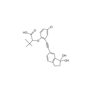 CC(C)(C)C(Oc1ccc(Cl)cc1C#Cc1ccc2c(c1)S(O)(O)CC2)C(=O)O